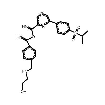 CC(C)S(=O)(=O)c1ccc(-c2cncc(C(=N)OC(=N)c3ccc(CNCCO)cc3)n2)cc1